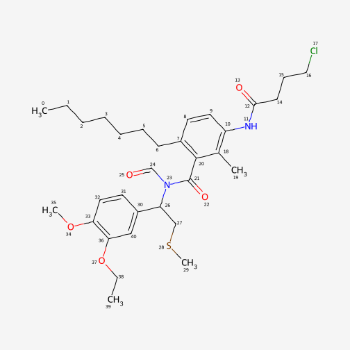 CCCCCCCc1ccc(NC(=O)CCCCl)c(C)c1C(=O)N(C=O)C(CSC)c1ccc(OC)c(OCC)c1